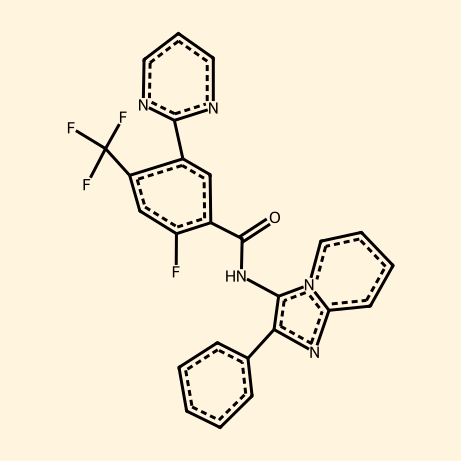 O=C(Nc1c(-c2ccccc2)nc2ccccn12)c1cc(-c2ncccn2)c(C(F)(F)F)cc1F